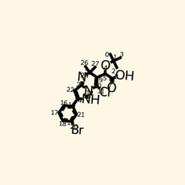 CC(C)(C)OC(C(=O)O)C1=C(Cl)N2NC(c3cccc(Br)c3)=CC2=NC1(C)C